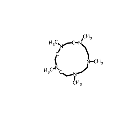 CN1CCN(C)CCN(C)CCN(C)CCN(C)CC1